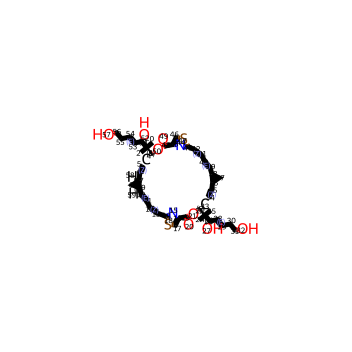 CC(C)([C@@H]1C/C=C\[C@H]2C[C@H]2/C=C/C=C\c2nc(cs2)C(=O)O[C@H](C(C)(C)[C@@H](O)/C=C/CCO)C/C=C\C2CC2/C=C/C=C\c2nc(cs2)C(=O)O1)[C@@H](O)/C=C/CCO